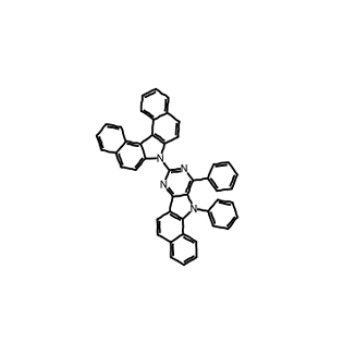 c1ccc(-c2nc(-n3c4ccc5ccccc5c4c4c5ccccc5ccc43)nc3c4ccc5ccccc5c4n(-c4ccccc4)c23)cc1